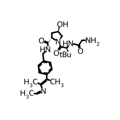 C/C=N\C(C)=C(/C)c1ccc(CNC(=O)[C@@H]2C[C@@H](O)CN2C(=O)[C@@H](NC(=O)CN)C(C)(C)C)cc1